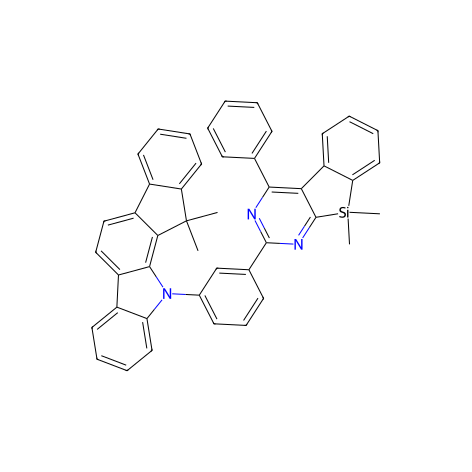 CC1(C)c2ccccc2-c2ccc3c4ccccc4n(-c4cccc(-c5nc(-c6ccccc6)c6c(n5)[Si](C)(C)c5ccccc5-6)c4)c3c21